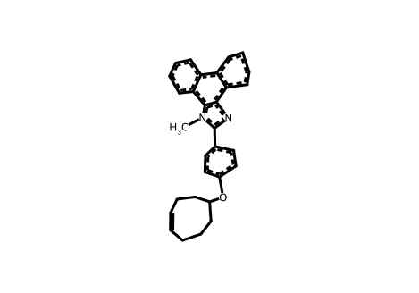 Cn1c(-c2ccc(OC3CC/C=C\CCC3)cc2)nc2c3ccccc3c3ccccc3c21